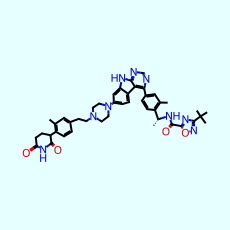 Cc1cc(CCN2CCN(c3ccc4c(c3)[nH]c3ncnc(-c5ccc([C@@H](C)NC(=O)c6nc(C(C)(C)C)no6)c(C)c5)c34)CC2)ccc1C1CCC(=O)NC1=O